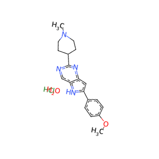 COc1ccc(-c2cc3nc(C4CCN(C)CC4)ncc3[nH]2)cc1.Cl.O